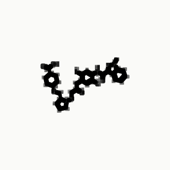 Cn1nc(C(=O)Nc2cc(F)c(CC(=O)CON3CCC[C@H]3CO[C@H]3CC[C@H](C(=O)O)CC3)cc2Cl)c2ccccc21